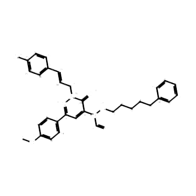 COc1ccc(-c2cc(N(C=O)OCCCCCc3ccccc3)c(=O)n(C/C=C/c3ccc(Cl)cc3)n2)cc1